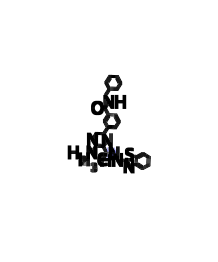 C/C(=N\Nc1nc2ccccc2s1)c1nc(-c2cccc(C(=O)NCc3ccccc3)c2)cnc1N